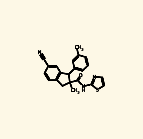 Cc1cccc(C2c3cc(C#N)ccc3CC2(C)C(=O)Nc2nccs2)c1